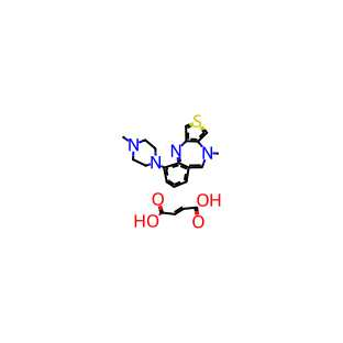 CN1CCN(c2cccc3c2=Nc2cscc2N(C)C=3)CC1.O=C(O)C=CC(=O)O